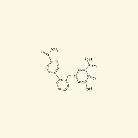 NC(=O)c1ccc(-c2ccccc2Cn2cc(O)c(=O)c(C(=O)O)c2)cc1